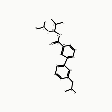 CC(C)Cc1cccc(-c2cccc(C(=O)N[C@H](CN(C)C)C(C)C)c2)c1